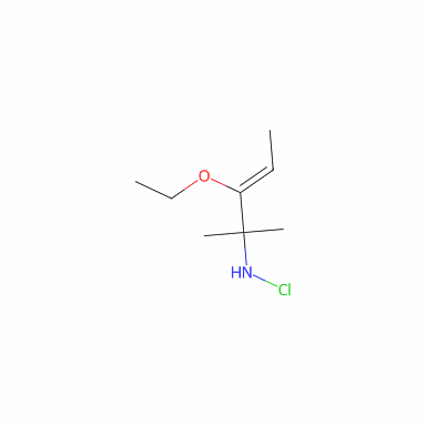 CC=C(OCC)C(C)(C)NCl